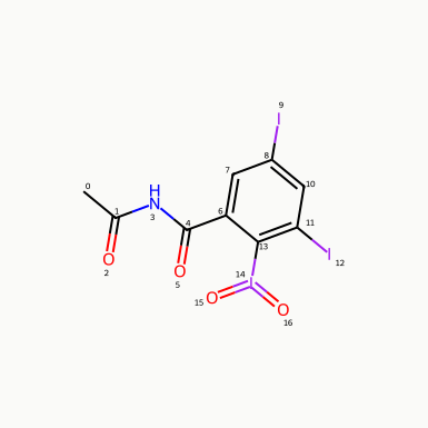 CC(=O)NC(=O)c1cc(I)cc(I)c1I(=O)=O